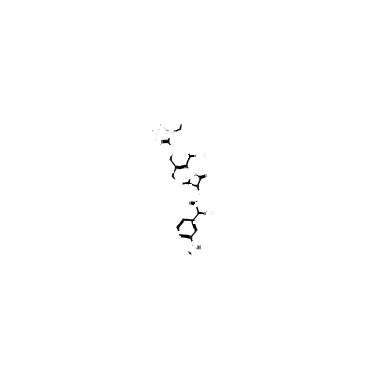 NC(C(=O)NC1C(=O)N2C(C(=O)O)=C(CSc3nnnn3CO)CS[C@H]12)c1cccc([N+](=O)[O-])c1